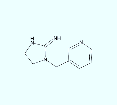 N=C1NCCN1Cc1cccnc1